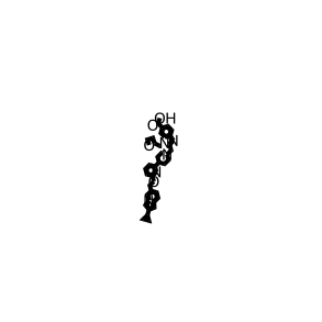 O=C(O)c1ccc2nc(CN3CCC(c4cccc(OCc5ccc6cc(C7CC7)cn6c5)n4)CC3)n(CC3CCO3)c2c1